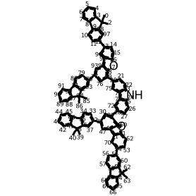 CC1(C)c2ccccc2-c2ccc(-c3ccc4oc5c(-c6ccc7[nH]c8ccc(-c9cc(-c%10ccc%11c(c%10)C(C)(C)c%10ccccc%10-%11)cc%10c9oc9ccc(-c%11ccc%12c(c%11)C(C)(C)c%11ccccc%11-%12)cc9%10)cc8c7c6)cc(-c6ccc7c(c6)C(C)(C)c6ccccc6-7)cc5c4c3)cc21